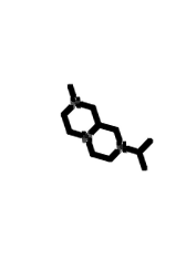 CC(C)N1CCN2CCN(C)CC2C1